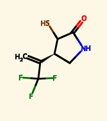 C=C([C@H]1CNC(=O)C1S)C(F)(F)F